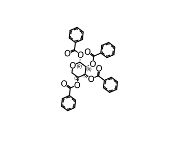 O=C(O[C@H]1OC[C@H](OC(=O)c2ccccc2)[C@H](OC(=O)c2ccccc2)[C@H]1OC(=O)c1ccccc1)c1ccccc1